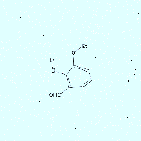 CCOc1cccc(C=O)c1OBr